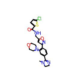 CN1CCN=C1c1ccc(-c2cc(CNC(=O)c3ccc(Cl)s3)on2)c(N2CCOCC2)c1